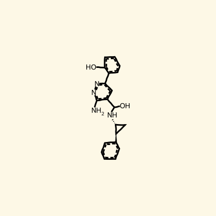 Nc1nnc(-c2ccccc2O)cc1C(O)N[C@@H]1C[C@H]1c1ccccc1